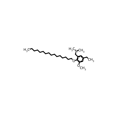 CCCCCCCCCCCCCCCCOc1c(CN(C)C)cc(CC)cc1OC